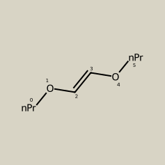 CCCOC=COCCC